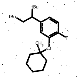 CC(C)(C)CC(c1ccc(F)c(OC2(C)CCCCC2)c1)C(C)(C)C